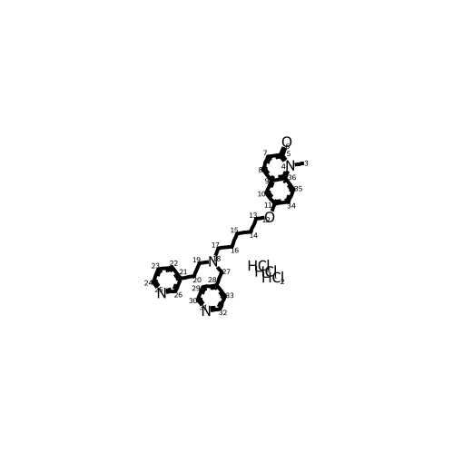 Cl.Cl.Cl.Cn1c(=O)ccc2cc(OCCCCCN(CCc3cccnc3)Cc3ccncc3)ccc21